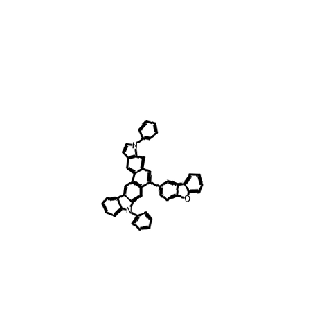 c1ccc(-n2ccc3cc4c(cc(-c5ccc6oc7ccccc7c6c5)c5cc6c(cc54)c4ccccc4n6-c4ccccc4)cc32)cc1